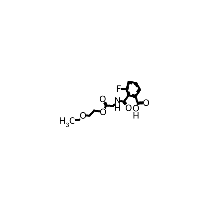 CCOCCOC(=O)CNC(=O)c1c(F)cccc1C(=O)O